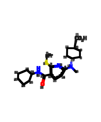 CCCSc1nc(N(C)[C@H]2CC[C@H](C(=O)O)CC2)ccc1C(=O)NC1CCCCC1